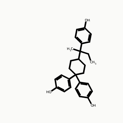 CCC(C)(c1ccc(O)cc1)C1CCC(c2ccc(O)cc2)(c2ccc(O)cc2)CC1